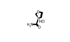 Cl.NC(=O)N1C=COC1